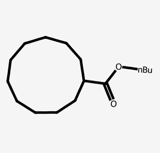 CCCCOC(=O)C1CCCCCCCCCC1